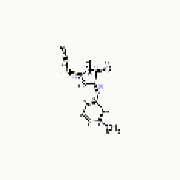 Cc1cccc(/C=C2\S/C(=N/C#N)NC2=O)c1